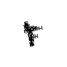 Cc1c(CC(=O)Nc2nc(-c3cccs3)cs2)c2cc(CO)ccc2n1C(=O)c1ccc(Cl)cc1